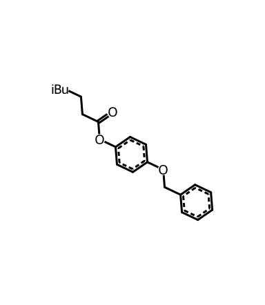 CCC(C)CCC(=O)Oc1ccc(OCc2ccccc2)cc1